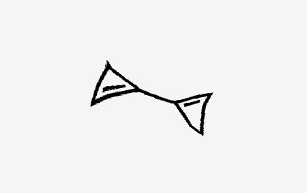 C1=C(C2=CC2)C1